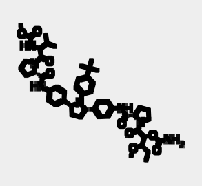 CC[C@@H](OC)[C@H](OC(N)=O)C(=O)N1CCC[C@H]1C(=O)Nc1ccc([C@@H]2CC[C@@H](c3ccc(NC(=O)[C@@H]4CCCN4C(=O)[C@@H](NC(=O)OC)C(C)C)cc3)N2c2ccc(C(C)(C)C)cc2)cc1